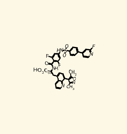 Cc1noc(C)c1-c1ccc(C[C@H](NC(=O)c2c(F)cc(NS(=O)(=O)c3ccc(-c4ccnc(F)c4)cc3)cc2F)C(=O)O)c2cccnc12